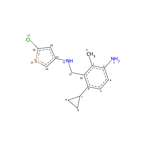 Cc1c(N)ccc(C2CC2)c1CNc1csc(Cl)c1